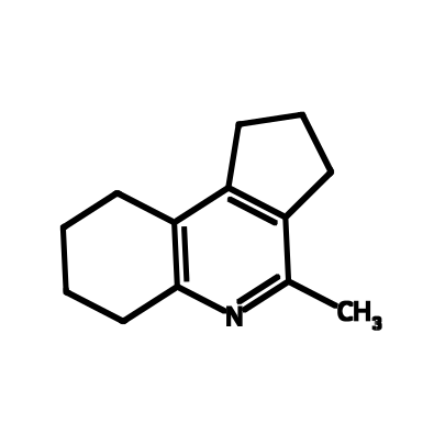 Cc1nc2c(c3c1CCC3)CCCC2